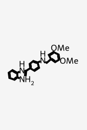 C=C(Nc1ccccc1N)c1ccc(NCc2cc(OC)cc(OC)c2)cc1